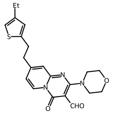 CCc1csc(CCc2ccn3c(=O)c(C=O)c(N4CCOCC4)nc3c2)c1